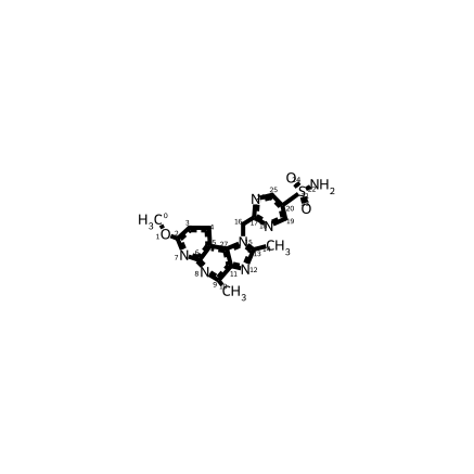 COc1ccc2c(n1)nc(C)c1nc(C)n(Cc3ncc(S(N)(=O)=O)cn3)c12